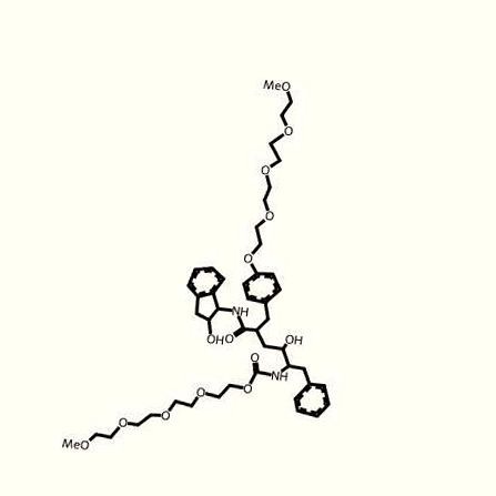 COCCOCCOCCOCCOC(=O)NC(Cc1ccccc1)C(O)CC(Cc1ccc(OCCOCCOCCOCCOC)cc1)C(=O)NC1c2ccccc2CC1O